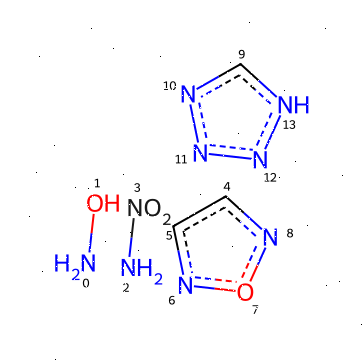 NO.N[N+](=O)[O-].c1cnon1.c1nnn[nH]1